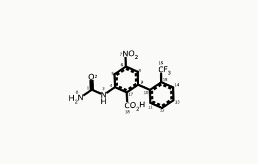 NC(=O)Nc1cc([N+](=O)[O-])cc(-c2ccccc2C(F)(F)F)c1C(=O)O